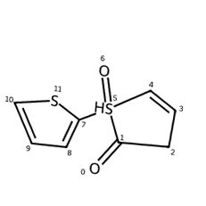 O=C1CC=C[SH]1(=O)c1cccs1